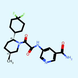 C[C@H]1CC[C@H](C2CCC(F)(F)CC2)N(C(=O)C(=O)Nc2cncc(C(N)=O)c2)C1